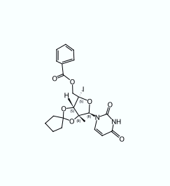 C[C@@]12OC3(CCCC3)O[C@@H]1[C@@](I)(COC(=O)c1ccccc1)O[C@H]2n1ccc(=O)[nH]c1=O